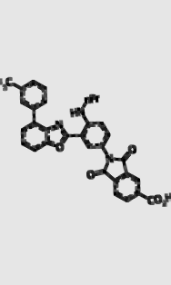 CCCNc1ccc(N2C(=O)c3ccc(C(=O)O)cc3C2=O)cc1-c1nc2c(-c3cccc(C(F)(F)F)c3)cccc2o1